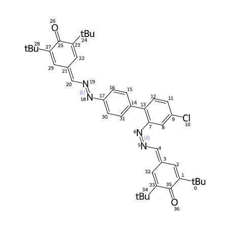 CC(C)(C)C1=CC(=C/N=N\c2cc(Cl)ccc2-c2ccc(/N=N/C=C3C=C(C(C)(C)C)C(=O)C(C(C)(C)C)=C3)cc2)C=C(C(C)(C)C)C1=O